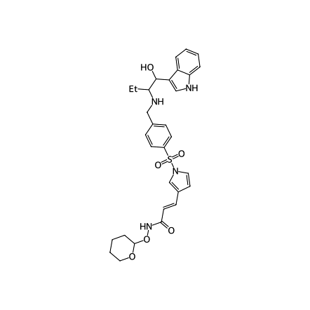 CCC(NCc1ccc(S(=O)(=O)n2ccc(C=CC(=O)NOC3CCCCO3)c2)cc1)C(O)c1c[nH]c2ccccc12